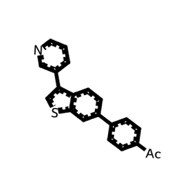 CC(=O)c1ccc(-c2ccc3c(-c4cccnc4)csc3c2)cc1